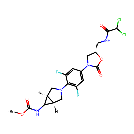 CC(C)(C)OC(=O)NC1[C@H]2CN(c3c(F)cc(N4C[C@H](CNC(=O)C(Cl)Cl)OC4=O)cc3F)C[C@@H]12